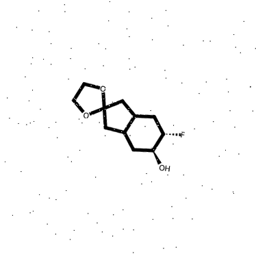 O[C@H]1CC2CC3(CC2C[C@@H]1F)OCCO3